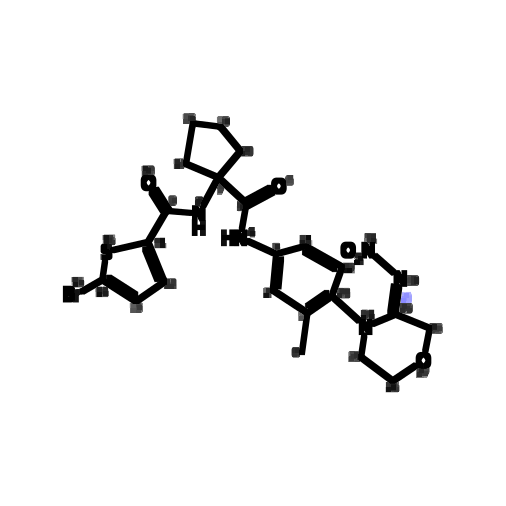 Cc1cc(NC(=O)C2(NC(=O)c3ccc(Br)s3)CCCC2)ccc1N1CCOC/C1=N/[N+](=O)[O-]